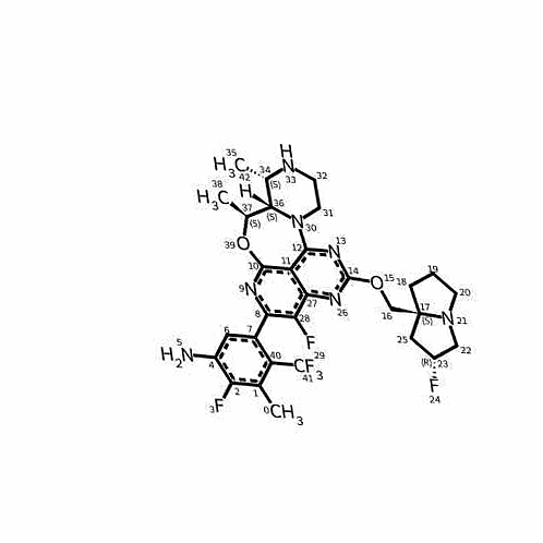 Cc1c(F)c(N)cc(-c2nc3c4c(nc(OC[C@@]56CCCN5C[C@H](F)C6)nc4c2F)N2CCN[C@@H](C)[C@H]2[C@H](C)O3)c1C(F)(F)F